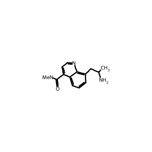 CNC(=O)c1ccnc2c(CC(C)N)cccc12